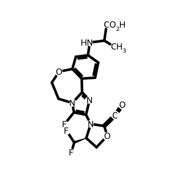 CC(Nc1ccc2c(c1)OCCn1c-2nc(N2C(=C=O)OC[C@H]2C(F)F)c1F)C(=O)O